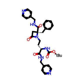 CC(C)(C)OC(=O)N[C@@H](CCN1C(=O)C[C@@]1(Cc1ccccc1)C(=O)NCc1ccncc1)C(=O)NCc1ccncc1